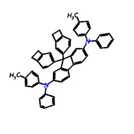 Cc1ccc(N(c2ccccc2)c2ccc3c(c2)C(c2ccc4c(c2)CC4)(c2ccc4c(c2)CC4)c2cc(N(c4ccccc4)c4ccc(C)cc4)ccc2-3)cc1